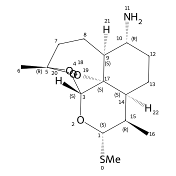 CS[C@@H]1O[C@@H]2O[C@@]3(C)CC[C@H]4[C@H](N)CC[C@@H]([C@H]1C)[C@@]24OO3